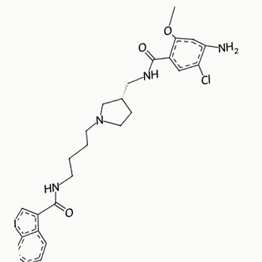 COc1cc(N)c(Cl)cc1C(=O)NC[C@@H]1CCN(CCCCNC(=O)c2cn(C)c3ccccc23)C1